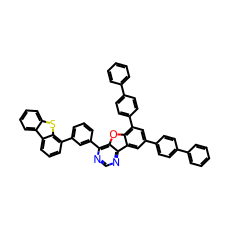 c1ccc(-c2ccc(-c3cc(-c4ccc(-c5ccccc5)cc4)c4oc5c(-c6cccc(-c7cccc8c7sc7ccccc78)c6)ncnc5c4c3)cc2)cc1